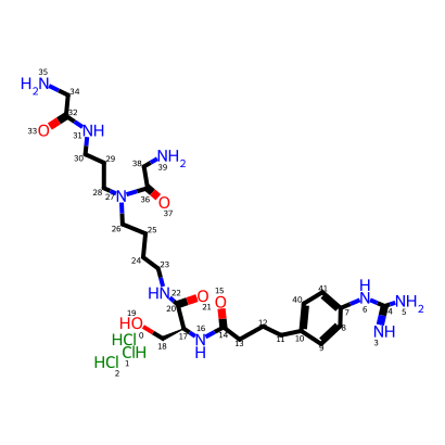 Cl.Cl.Cl.N=C(N)Nc1ccc(CCCC(=O)N[C@@H](CO)C(=O)NCCCCN(CCCNC(=O)CN)C(=O)CN)cc1